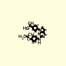 CC(C)Oc1ccc(Nc2ncc3c(n2)N(c2ccc(C(C)O)cc2)CC3)cc1